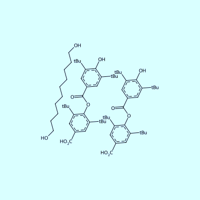 CC(C)(C)c1cc(C(=O)Oc2c(C(C)(C)C)cc(C(=O)O)cc2C(C)(C)C)cc(C(C)(C)C)c1O.CC(C)(C)c1cc(C(=O)Oc2c(C(C)(C)C)cc(C(=O)O)cc2C(C)(C)C)cc(C(C)(C)C)c1O.OCCCCCCCCCCO